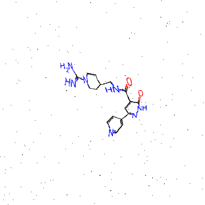 N=C(N)N1CCC(CNC(=O)c2cc(-c3ccncc3)n[nH]c2=O)CC1